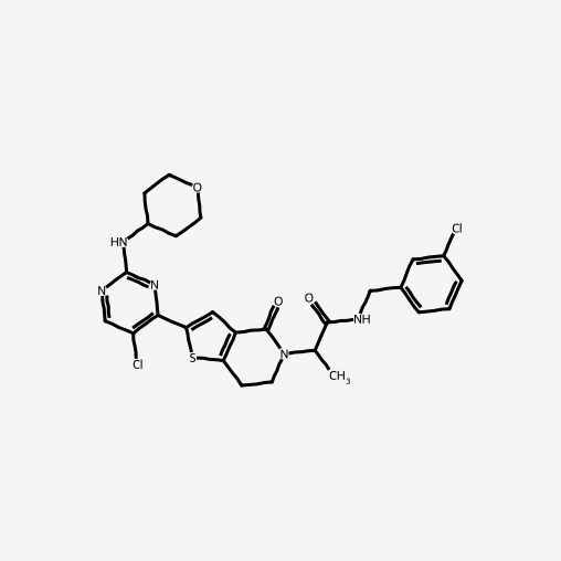 CC(C(=O)NCc1cccc(Cl)c1)N1CCc2sc(-c3nc(NC4CCOCC4)ncc3Cl)cc2C1=O